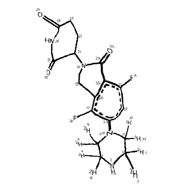 [2H]C1([2H])NC([2H])([2H])C([2H])([2H])N(c2cc(F)c3c(c2F)CN(C2CCC(=O)NC2=O)C3=O)C1([2H])[2H]